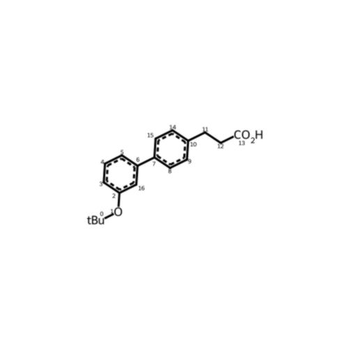 CC(C)(C)Oc1cccc(-c2ccc(CCC(=O)O)cc2)c1